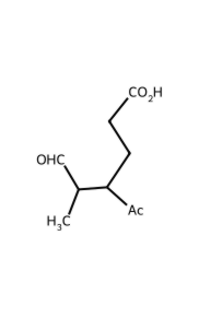 CC(=O)C(CCC(=O)O)C(C)C=O